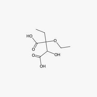 CCOC(CC)(C(=O)O)C(O)C(=O)O